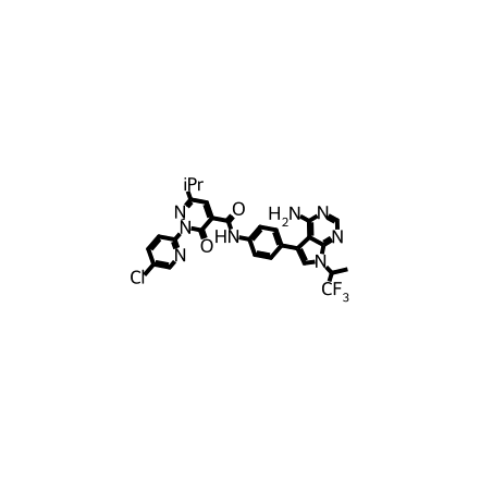 CC(C)c1cc(C(=O)Nc2ccc(-c3cn(C(C)C(F)(F)F)c4ncnc(N)c34)cc2)c(=O)n(-c2ccc(Cl)cn2)n1